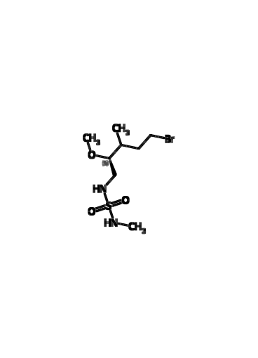 CNS(=O)(=O)NC[C@@H](OC)C(C)CCBr